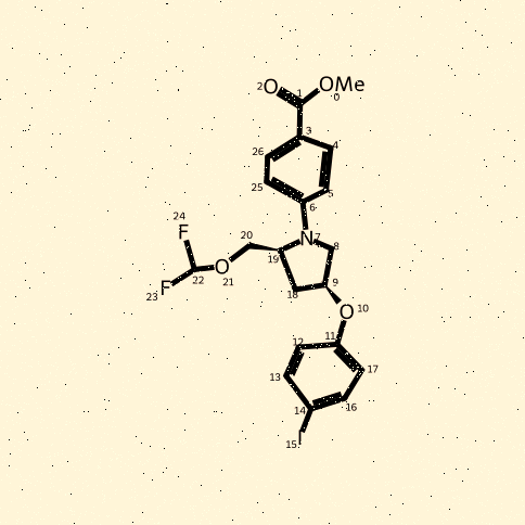 COC(=O)c1ccc(N2C[C@@H](Oc3ccc(I)cc3)C[C@H]2COC(F)F)cc1